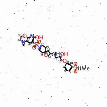 CNS(=O)(=O)c1cccc(OCC(O)CNC2COC3(CCN(S(=O)(=O)c4cc5c(nc4O)OCCN5C)CC3)C2)c1